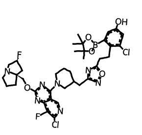 CC1(C)OB(c2cc(O)cc(Cl)c2CCc2nc(CC3CCCN(c4nc(OC[C@@]56CCCN5C[C@H](F)C6)nc5c(F)c(Cl)ncc45)C3)no2)OC1(C)C